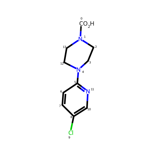 O=C(O)N1CCN(c2ccc(Cl)cn2)CC1